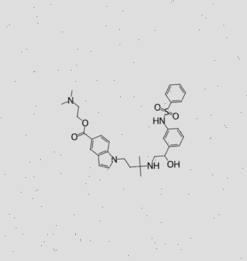 CN(C)CCOC(=O)c1ccc2c(ccn2CCC(C)(C)NCC(O)c2cccc(NS(=O)(=O)c3ccccc3)c2)c1